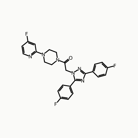 O=C(Cn1nc(-c2ccc(F)cc2)nc1-c1ccc(F)cc1)N1CCN(c2cc(F)ccn2)CC1